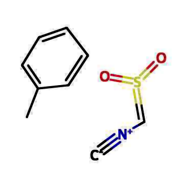 Cc1ccccc1.[C-]#[N+]C=S(=O)=O